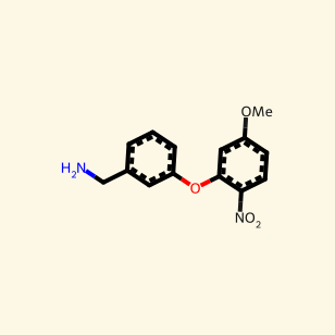 COc1ccc([N+](=O)[O-])c(Oc2cccc(CN)c2)c1